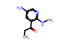 CCC(=O)c1cc(N)cnc1NC